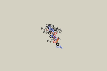 CC[C@H](C)[C@@H]([C@@H](CC(=O)N1CCC[C@H]1[C@H](OC)[C@@H](C)C(=O)NS(=O)(=O)Cc1ccc(N)cc1)OC)N(C)C(=O)[C@@H](NC(=O)C(C(C)C)N(C)C)C(C)C